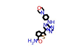 NC(=O)c1cccc2c(-c3cnc(Nc4ccc(N5CCOCC5)cc4)c4ncnn34)csc12